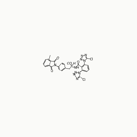 Cc1cccc2c1C(=O)N(c1ccc(C[C@H](NC(=O)c3c(-n4nnnc4Cl)cccc3-n3nnnc3Cl)C(=O)O)cc1)C2=O